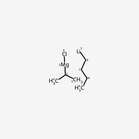 C[CH](C)[Mg][Cl].[Li][CH2]CCC